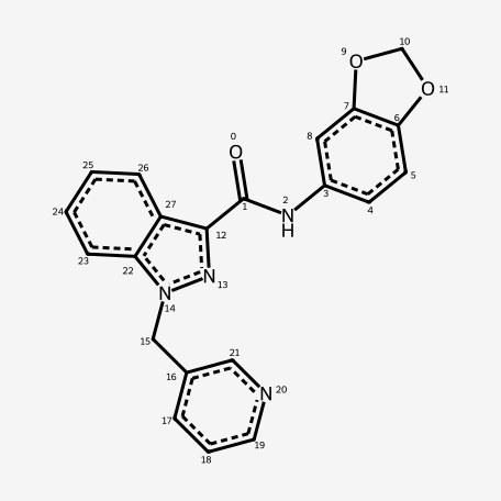 O=C(Nc1ccc2c(c1)OCO2)c1nn(Cc2cccnc2)c2ccccc12